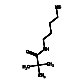 CC(C)(C)C(=O)NCCCC[NH]